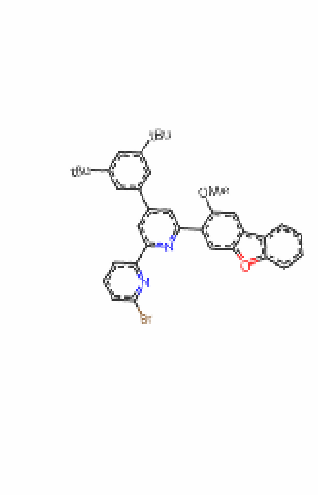 COc1cc2c(cc1-c1cc(-c3cc(C(C)(C)C)cc(C(C)(C)C)c3)cc(-c3cccc(Br)n3)n1)oc1ccccc12